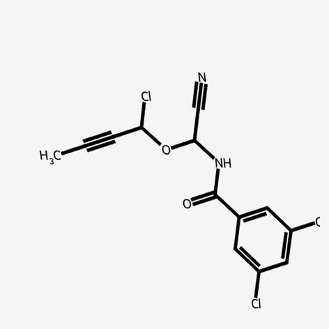 CC#CC(Cl)OC(C#N)NC(=O)c1cc(Cl)cc(Cl)c1